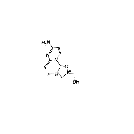 Nc1ccn(C2O[C@H](CO)C[C@@H]2F)c(=S)n1